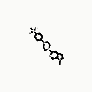 Cn1ccc2cc(N3CCN(c4ccc(S(C)(=O)=O)cc4)CC3)ncc21